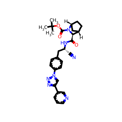 CC(C)(C)OC(=O)N1[C@@H]2CC[C@@H](C2)[C@H]1C(=O)N[C@H](C#N)Cc1ccc(-n2cc(-c3cccnc3)nn2)cc1